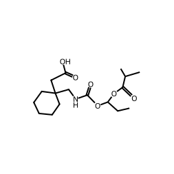 CCC(OC(=O)NCC1(CC(=O)O)CCCCC1)OC(=O)C(C)C